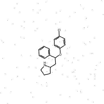 Clc1ccc(OC(CC2CCCN2)c2ccccc2)cc1